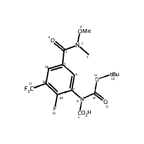 CON(C)C(=O)c1cc(N(C(=O)O)C(=O)OC(C)(C)C)c(F)c(C(F)(F)F)c1